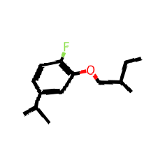 CCC(C)COc1cc(C(C)C)ccc1F